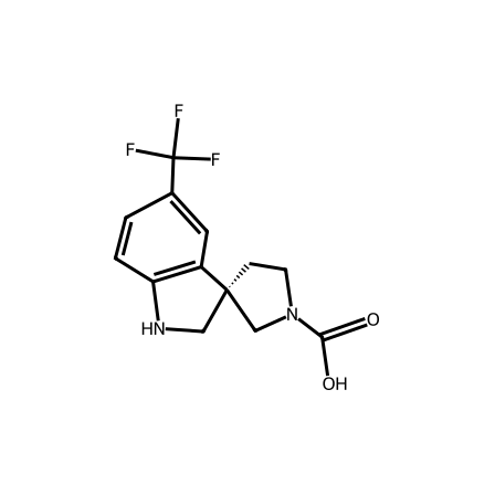 O=C(O)N1CC[C@@]2(CNc3ccc(C(F)(F)F)cc32)C1